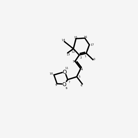 CC1=C(/C=C/C(C)C2OCCO2)C(C)(C)CCC1